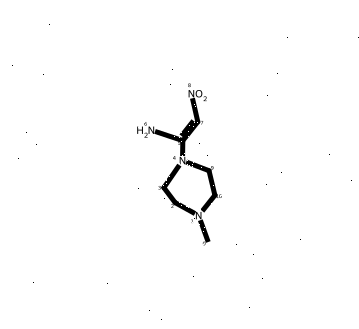 CN1CCN(/C(N)=C/[N+](=O)[O-])CC1